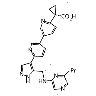 CC(C)c1cncc(NCc2[nH]ncc2-c2ccc(-c3ccc(C4(C(=O)O)CC4)nc3)cn2)n1